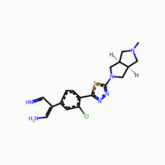 CN1C[C@@H]2CN(c3nnc(-c4ccc(/C(C=N)=C/N)cc4Cl)s3)C[C@@H]2C1